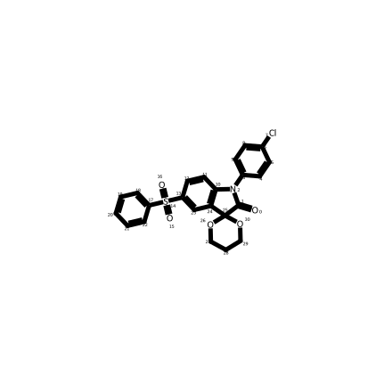 O=C1N(c2ccc(Cl)cc2)c2ccc(S(=O)(=O)c3ccccc3)cc2C12OCCCO2